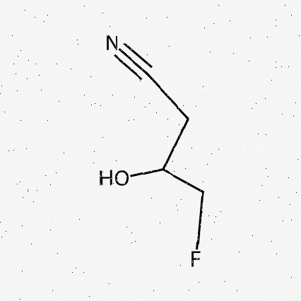 N#CCC(O)CF